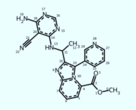 COC(=O)c1cccc2nc(C(C)Nc3ncnc(N)c3C#N)c(-c3cccnc3)n12